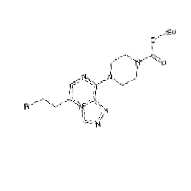 CC(C)CCc1cnc(N2CCN(C(=O)OC(C)(C)C)CC2)c2nncn12